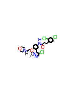 Cn1ncc(Cl)c1-c1cc(NC(=O)CCc2ccc(Cl)cc2Cl)ccc1OCCN1CCOCC1